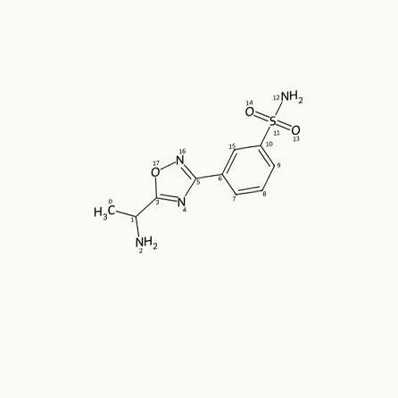 CC(N)c1nc(-c2cccc(S(N)(=O)=O)c2)no1